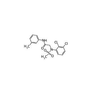 Cc1cccc(NC(=O)CN(c2cccc(Cl)c2Cl)S(C)(=O)=O)c1